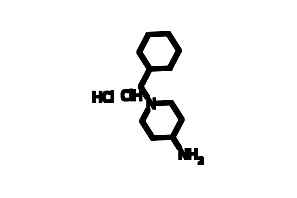 Cl.Cl.NC1CCN(CC2CCCCC2)CC1